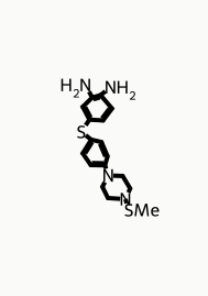 CSN1CCN(c2ccc(Sc3ccc(N)c(N)c3)cc2)CC1